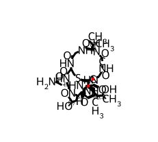 CC[C@H](C)[C@@H]1NC(=O)CNC(=O)C2Cc3c([nH]c4ccccc34)SCC(NC(=O)CNC1=O)C(=O)N[C@@H](CC(N)=O)C(=O)N1C[C@H](O)C[C@H]1C(=O)N[C@@H]([C@@H](C)[C@H](C)O)C(=O)N2